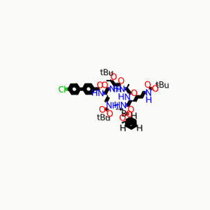 C[C@H](NC(=O)[C@H](CCCCNC(=O)OC(C)(C)C)NC(=O)[C@H](C)NC(=O)[C@@H](NC(=O)[C@H](CCNC(=O)OC(C)(C)C)NC(=O)c1ccc(-c2ccc(Cl)cc2)cc1)[C@@H](C)OC(C)(C)C)B1O[C@@H]2C[C@@H]3C[C@@H](C3(C)C)[C@]2(C)O1